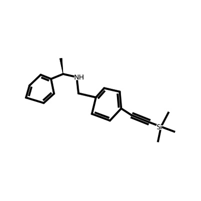 C[C@@H](NCc1ccc(C#C[Si](C)(C)C)cc1)c1ccccc1